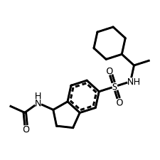 CC(=O)NC1CCc2cc(S(=O)(=O)NC(C)C3CCCCC3)ccc21